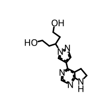 OCCC(CCO)n1cc(-c2ncnc3c2CCN3)cn1